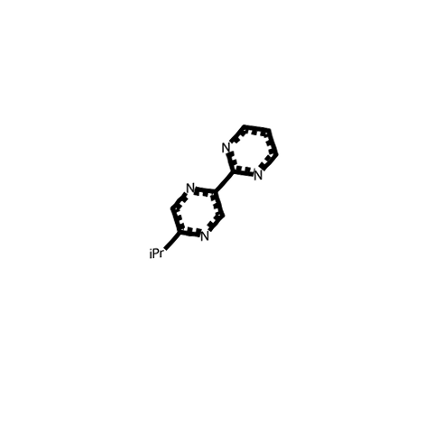 CC(C)c1cnc(-c2ncccn2)cn1